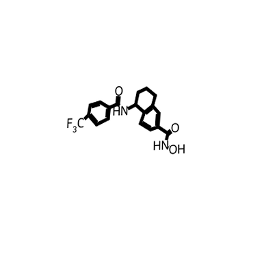 O=C(NO)c1ccc2c(c1)CCCC2NC(=O)c1ccc(C(F)(F)F)cc1